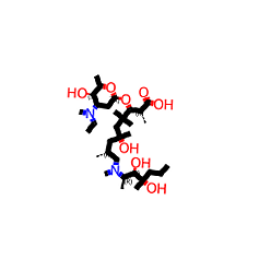 CCCC(C)(O)[C@H](O)[C@@H](C)N(C)C[C@H](C)CC(C)(O)CC(C)(C)C(O[C@H]1CC(N(C)CC)[C@H](O)C(C)O1)[C@@H](C)C(=O)O